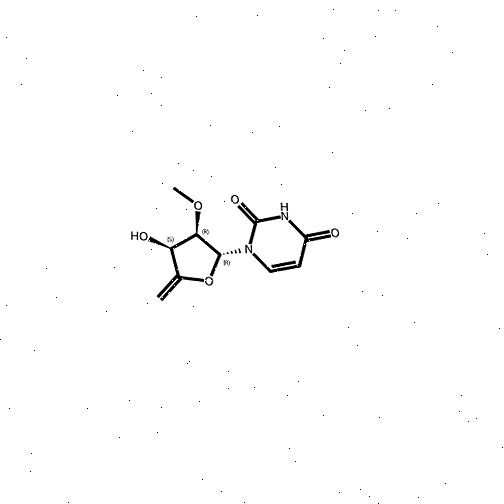 C=C1O[C@@H](n2ccc(=O)[nH]c2=O)[C@H](OC)[C@@H]1O